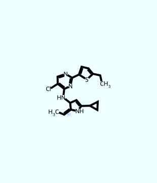 C/C=C1/NC(C2CC2)=CC1Nc1nc(-c2ccc(CC)s2)ncc1Cl